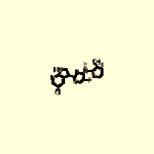 Cc1ccccc1N(F)c1nc(-c2c[nH]c3ncc(Cl)cc23)ncc1F